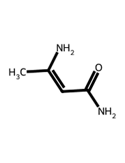 CC(N)=CC(N)=O